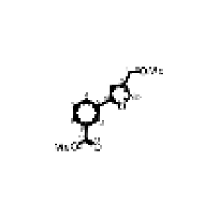 COCc1cc(-c2cccc(C(=O)OC)c2)on1